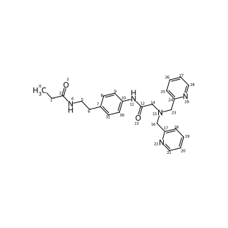 C[CH]C(=O)NCCc1ccc(NC(=O)CN(Cc2ccccn2)Cc2ccccn2)cc1